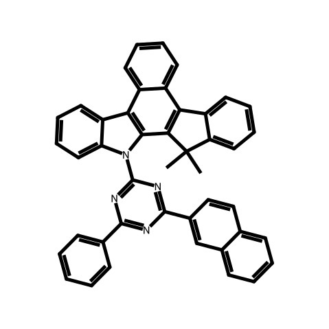 CC1(C)c2ccccc2-c2c1c1c(c3ccccc23)c2ccccc2n1-c1nc(-c2ccccc2)nc(-c2ccc3ccccc3c2)n1